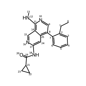 CCc1ccccc1-c1cnc(NC)c2cnc(NC(=O)C3CC3)cc12